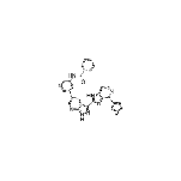 OC(Nc1cncc(-c2cnc3[nH]nc(-c4nc5c(-c6ccoc6)nccc5[nH]4)c3c2)c1)c1ccccc1